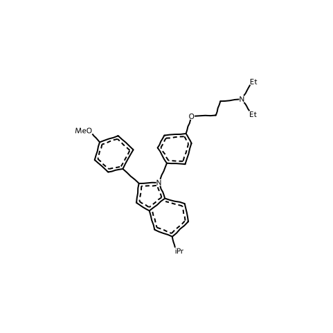 CCN(CC)CCOc1ccc(-n2c(-c3ccc(OC)cc3)cc3cc(C(C)C)ccc32)cc1